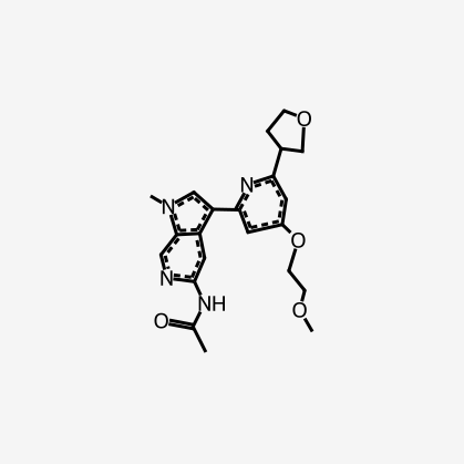 COCCOc1cc(-c2cn(C)c3cnc(NC(C)=O)cc23)nc(C2CCOC2)c1